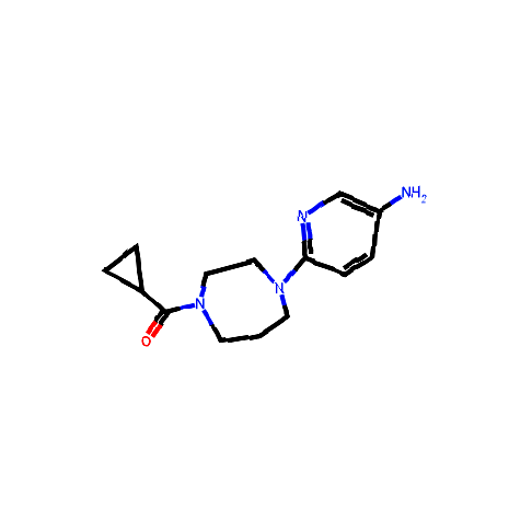 Nc1ccc(N2CCCN(C(=O)C3CC3)CC2)nc1